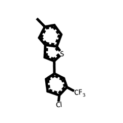 Cc1ccc2sc(-c3ccc(Cl)c(C(F)(F)F)c3)cc2c1